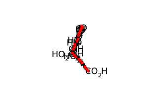 O=C(O)CCCCCCCCCCCCCCCCC(O)N[C@@H](CCC(=O)NCCCCNC(=O)NCCOCCOCC(=O)ON1C(=O)CCC1=O)C(=O)O